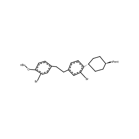 CCCCC[C@H]1CC[C@H](c2ccc(CCc3ccc(OCCCC)c(Br)c3)cc2Br)CC1